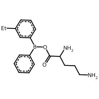 CCc1cccc(B(OC(=O)C(N)CCCN)c2ccccc2)c1